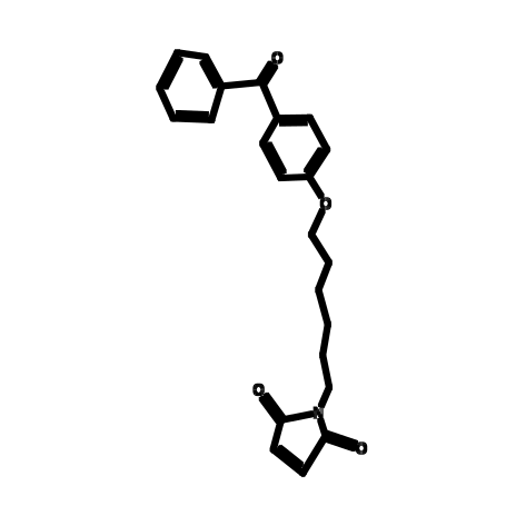 O=C(c1ccccc1)c1ccc(OCCCCCCN2C(=O)C=CC2=O)cc1